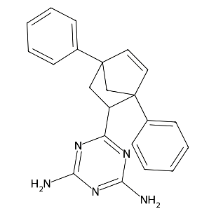 Nc1nc(N)nc(C2CC3(c4ccccc4)C=CC2(c2ccccc2)C3)n1